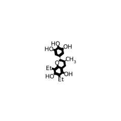 CCc1c(O)c(CC)c2c(c1O)C[C@@H](C)[C@@H](c1cc(O)c(O)c(O)c1)O2